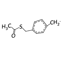 [CH2]c1ccc(CSC(C)=O)cc1